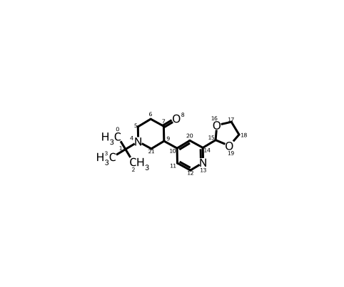 CC(C)(C)N1CCC(=O)C(c2ccnc(C3OCCO3)c2)C1